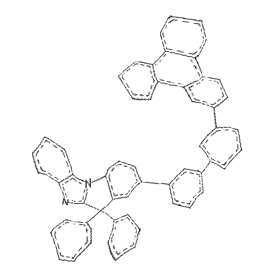 c1ccc(C2(c3ccccc3)c3cc(-c4cccc(-c5cccc(-c6ccc7c8ccccc8c8ccccc8c7c6)c5)c4)ccc3-n3c2nc2ccccc23)cc1